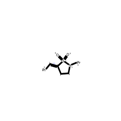 CC(C)/C=C1\CCN(C(C)C)S1(=O)=O